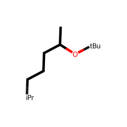 CC(C)CCCC(C)OC(C)(C)C